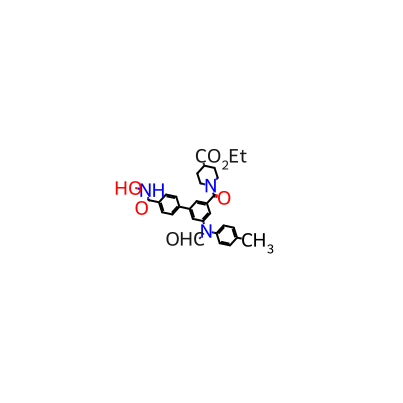 CCOC(=O)C1CCN(C(=O)c2cc(-c3ccc(C(=O)NO)cc3)cc(N(C=O)c3ccc(C)cc3)c2)CC1